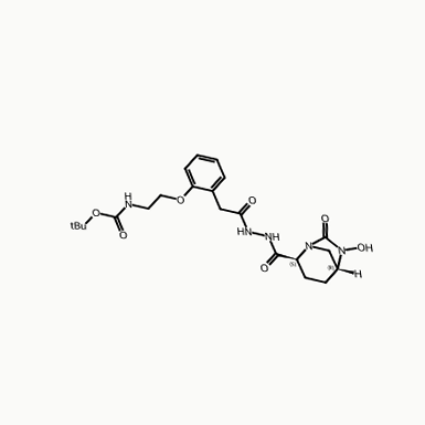 CC(C)(C)OC(=O)NCCOc1ccccc1CC(=O)NNC(=O)[C@@H]1CC[C@@H]2CN1C(=O)N2O